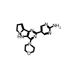 Nc1ncc(-c2nc3c(c(N4CCOCC4)n2)NN2CCC=C32)cn1